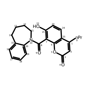 CCCc1cc(=O)oc2c(C(=O)N3CCCCc4ccccc43)c(O)ccc12